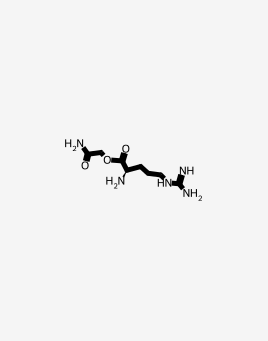 N=C(N)NCCC[C@H](N)C(=O)OCC(N)=O